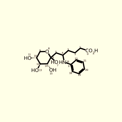 O=C(O)CCCC(CC1(O)OC[C@@H](O)[C@H](O)[C@H]1O)Nc1ccccc1